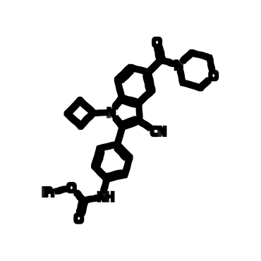 CC(C)OC(=O)Nc1ccc(-c2c(C#N)c3cc(C(=O)N4CCOCC4)ccc3n2C2CCC2)cc1